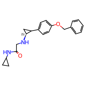 O=C(CN[C@H]1CC1c1ccc(OCc2ccccc2)cc1)NC1CC1